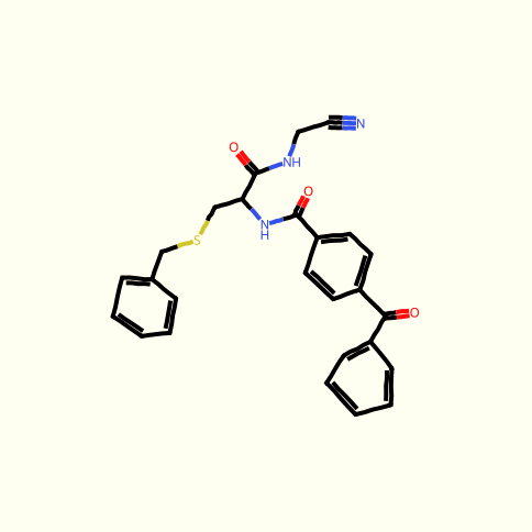 N#CCNC(=O)C(CSCc1ccccc1)NC(=O)c1ccc(C(=O)c2ccccc2)cc1